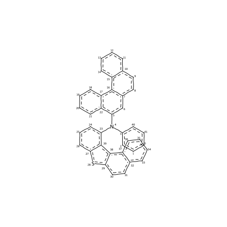 c1ccc(N(c2cc3ccc4ccccc4c3c3ccccc23)c2cccc3sc4ccc5ccccc5c4c23)cc1